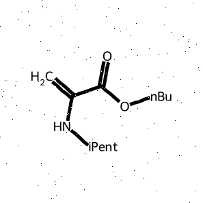 C=C(NC(C)CCC)C(=O)OCCCC